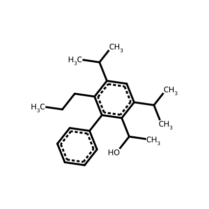 CCCc1c(C(C)C)cc(C(C)C)c(C(C)O)c1-c1ccccc1